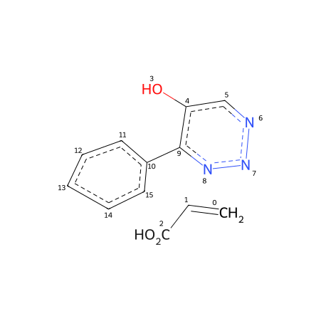 C=CC(=O)O.Oc1cnnnc1-c1ccccc1